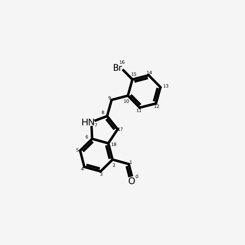 O=Cc1cccc2[nH]c(Cc3ccccc3Br)cc12